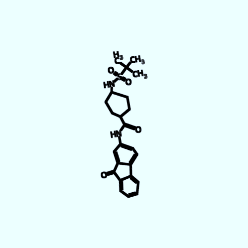 CC(C)(C)S(=O)(=O)NC1CCC(C(=O)Nc2ccc3c(c2)C(=O)c2ccccc2-3)CC1